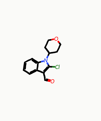 O=Cc1c(Cl)n(C2CCOCC2)c2ccccc12